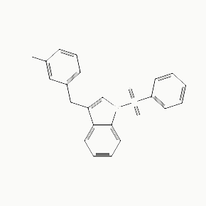 O=S(=O)(c1ccccc1)n1cc(Cc2cccc(C(F)(F)F)c2)c2ccccc21